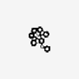 c1ccc(Oc2ccc3c(c2)C(c2ccccc2)(c2ccccc2)N(c2ccccc2)C3(c2ccccc2)c2ccccc2)cc1